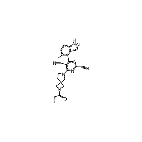 C=CC(=O)N1CC2(CCN(c3nc(C#N)nc(-c4c(C)ccc5[nH]ncc45)c3C#N)C2)C1